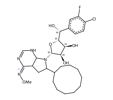 CO/N=C1/N=CNC2C1CC(C1CCCCCCCCC1)N2[C@@H]1O[C@H]([C@H](O)c2ccc(Cl)c(F)c2)[C@@H](O)[C@H]1O